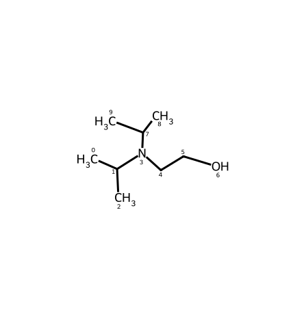 CC(C)N(CCO)C(C)C